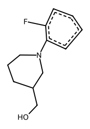 OCC1CCCN(c2ccccc2F)C1